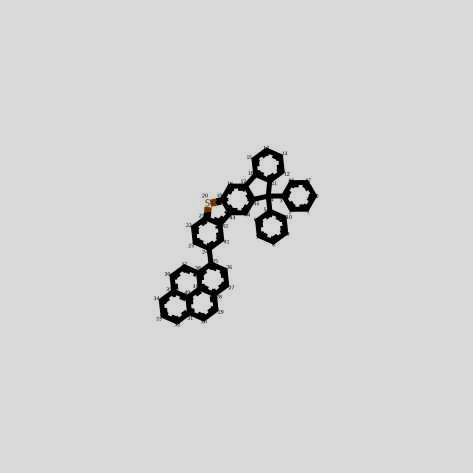 c1ccc(C2(c3ccccc3)c3ccccc3-c3cc4sc5ccc(-c6ccc7ccc8cccc9ccc6c7c89)cc5c4cc32)cc1